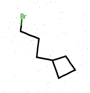 BrCCCC1CCC1